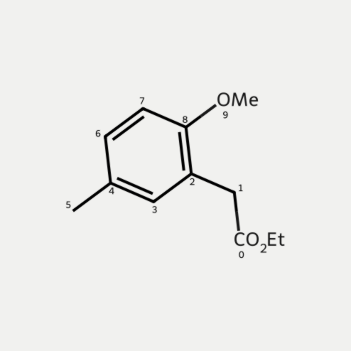 CCOC(=O)Cc1cc(C)ccc1OC